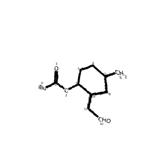 CCC(C)C(=O)OC1CCC(C)CC1CC=O